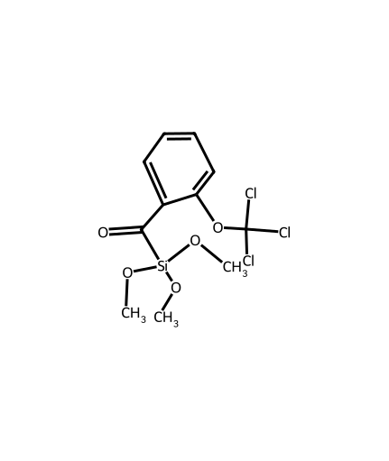 CO[Si](OC)(OC)C(=O)c1ccccc1OC(Cl)(Cl)Cl